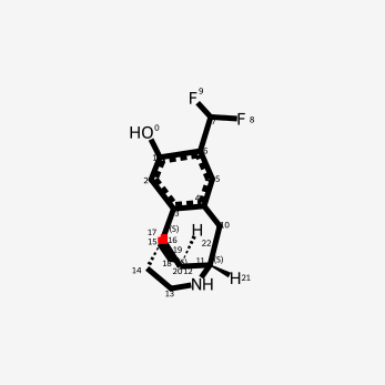 Oc1cc2c(cc1C(F)F)C[C@@H]1NCC[C@]23CCCC[C@H]13